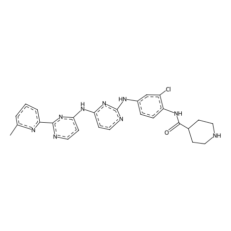 Cc1cccc(-c2nccc(Nc3ccnc(Nc4ccc(NC(=O)C5CCNCC5)c(Cl)c4)n3)n2)n1